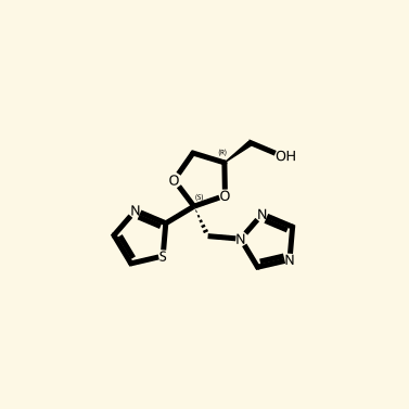 OC[C@@H]1CO[C@](Cn2cncn2)(c2nccs2)O1